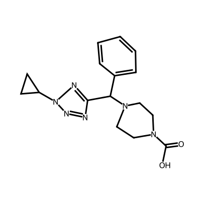 O=C(O)N1CCN(C(c2ccccc2)c2nnn(C3CC3)n2)CC1